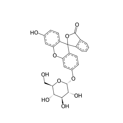 O=C1OC2(c3ccc(O)cc3Oc3cc(O[C@H]4O[C@H](CO)[C@@H](O)[C@H](O)[C@H]4O)ccc32)c2ccccc21